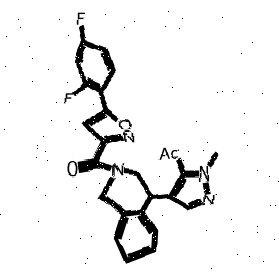 CC(=O)c1c(C2CN(C(=O)c3cc(-c4ccc(F)cc4F)on3)Cc3ccccc32)cnn1C